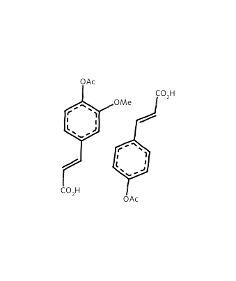 CC(=O)Oc1ccc(C=CC(=O)O)cc1.COc1cc(C=CC(=O)O)ccc1OC(C)=O